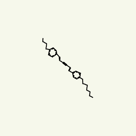 CCCCCCCc1ccc(/C=C/C#C/C=C/c2ccc(CCCC)cc2)cc1